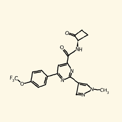 Cn1cc(-c2nc(C(=O)N[C@@H]3CCC3=O)cc(-c3ccc(OC(F)(F)F)cc3)n2)cn1